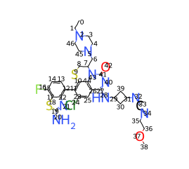 CCN1CCN(CC2CSc3c(-c4ccc(F)c5sc(N)nc45)c(Cl)cc4c(NC5CC(N=C=NCCOC)C5)nc(=O)n2c34)CC1